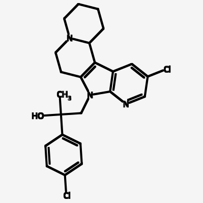 CC(O)(Cn1c2c(c3cc(Cl)cnc31)C1CCCCN1CC2)c1ccc(Cl)cc1